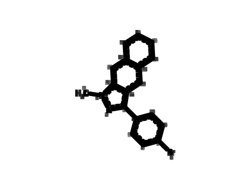 Cn1nc(-c2ccc(Br)cc2)c2cc3ccccc3cc21